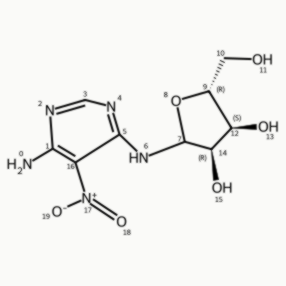 Nc1ncnc(NC2O[C@H](CO)[C@@H](O)[C@H]2O)c1[N+](=O)[O-]